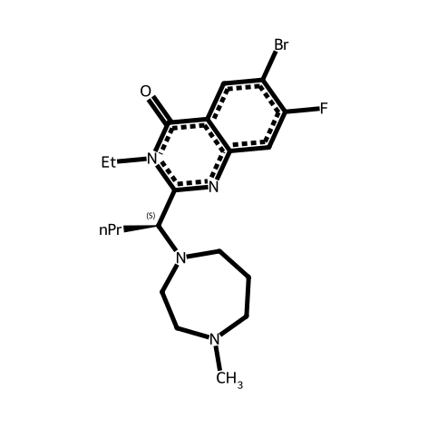 CCC[C@@H](c1nc2cc(F)c(Br)cc2c(=O)n1CC)N1CCCN(C)CC1